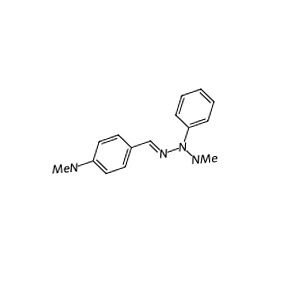 CNc1ccc(C=NN(NC)c2ccccc2)cc1